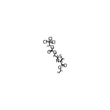 CCOC(=O)c1csc(COC(=O)OCC(Cl)(Cl)Cl)n1